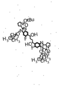 CC(C)(C)OC(=O)N1CCCC1c1nc2cc([C@@H](O)CC[C@H](O)c3cc4nc(C5CCCN5C(=O)OC(C)(C)C)n(COCC[Si](C)(C)C)c4cc3F)c(F)cc2n1COCC[Si](C)(C)C